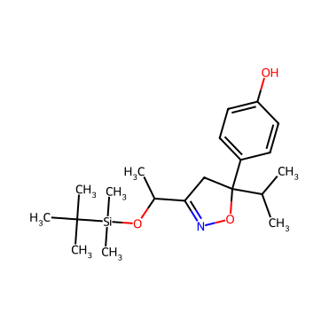 CC(O[Si](C)(C)C(C)(C)C)C1=NOC(c2ccc(O)cc2)(C(C)C)C1